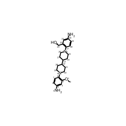 COc1cc(N)ccc1N1CCC(C2CCN(c3ccc(N)cc3CO)CC2)CC1